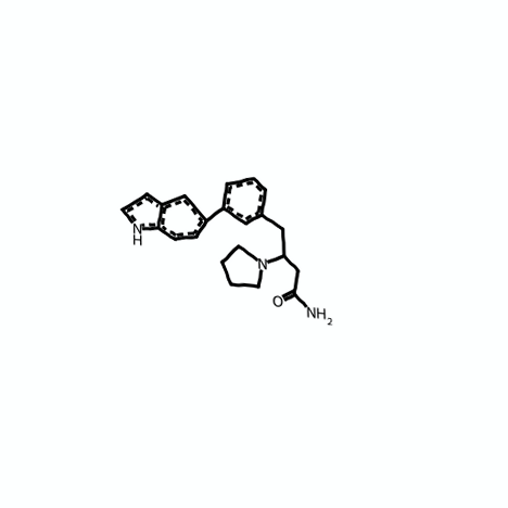 NC(=O)CC(Cc1cccc(-c2ccc3[nH]ccc3c2)c1)N1CCCC1